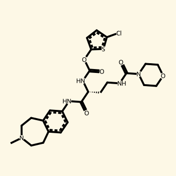 CN1CCc2ccc(NC(=O)[C@@H](CCNC(=O)N3CCOCC3)NC(=O)Oc3ccc(Cl)s3)cc2CC1